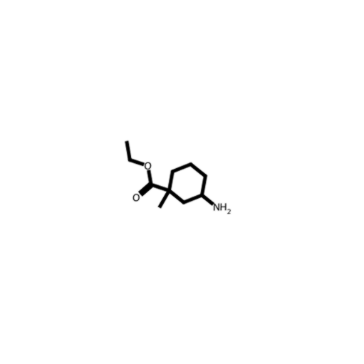 CCOC(=O)C1(C)CCCC(N)C1